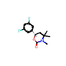 CN1C(=O)O[C@H](c2cc(F)cc(F)c2)CC1(C)C